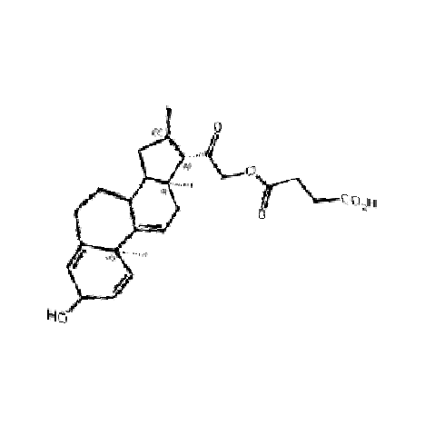 C[C@@H]1CC2C3CCC4=CC(O)C=C[C@]4(C)C3=CC[C@]2(C)[C@H]1C(=O)COC(=O)CCC(=O)O